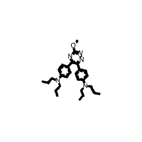 CCCN(CCC)c1ccc(-c2nnc(OC)nc2-c2ccc(N(CCC)CCC)cc2)cc1